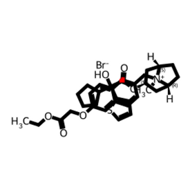 CCOC(=O)COc1ccc2cc(C[N+]3(C)[C@@H]4CC[C@H]3C[C@H](OC(=O)C(O)(c3cccs3)C3CCCC3)C4)ccc2c1.[Br-]